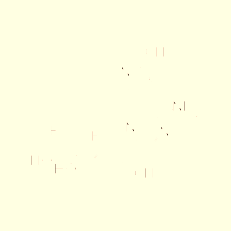 Cc1ncc(-c2nc(-c3cc(C(O)(C(O)F)C(F)F)ccc3C)cnc2N)s1